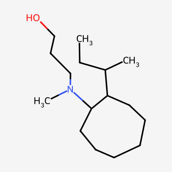 CCC(C)C1CCCCCCC1N(C)CCCO